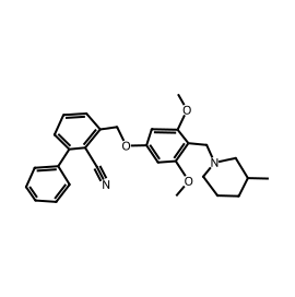 COc1cc(OCc2cccc(-c3ccccc3)c2C#N)cc(OC)c1CN1CCCC(C)C1